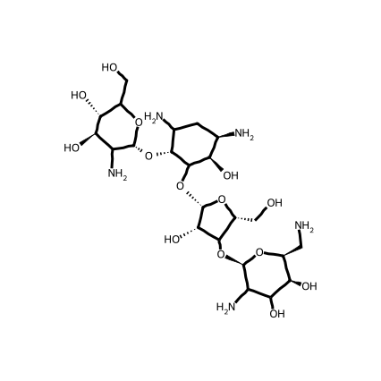 NC[C@@H]1O[C@H](OC2[C@@H](CO)O[C@@H](OC3[C@H](O[C@H]4OC(CO)[C@@H](O)[C@H](O)C4N)C(N)C[C@@H](N)[C@H]3O)[C@H]2O)C(N)C(O)[C@@H]1O